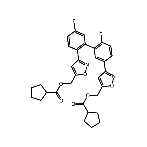 O=C(OCc1cc(-c2ccc(F)c(-c3cc(F)ccc3-c3cc(COC(=O)C4CCCC4)on3)c2)no1)C1CCCC1